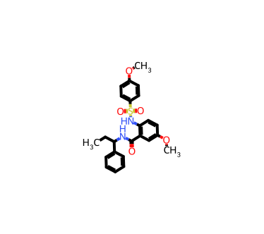 CCC(NC(=O)c1cc(OC)ccc1NS(=O)(=O)c1ccc(OC)cc1)c1ccccc1